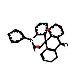 O=C1C2=C(C=CCC2)C2(c3ccccc31)c1ccccc1N(c1ccccc1)c1ccccc12